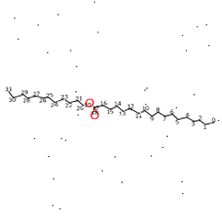 CCCCCCCCCCCCCCCCCC(=O)OCCCCCCCCCCCC